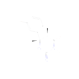 C[C@H]1C(=O)N(C)C(=N)N[C@]1(C)c1cccc(Br)c1